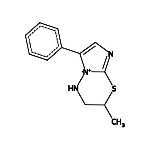 CC1CN[N+]2C(c3ccccc3)=CN=C2S1